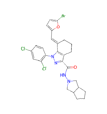 O=C(NN1CC2CCCC2C1)c1nn(-c2ccc(Cl)cc2Cl)c2c1CCC/C2=C\c1ccc(Br)o1